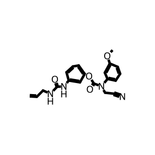 C=CCNC(=O)Nc1cccc(OC(=O)N(CC#N)c2cccc(OC)c2)c1